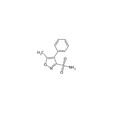 Cc1onc(S(N)(=O)=O)c1-c1ccccc1